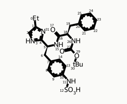 CCc1c[nH]c([C@H](Cc2ccc(NS(=O)(=O)O)cc2)NC(=O)[C@@H](Cc2ccccc2)NC(=O)OC(C)(C)C)n1